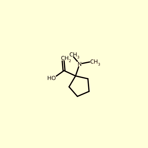 C=C(O)C1(N(C)C)CCCC1